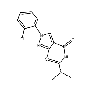 CN(C)c1nc2nn(-c3ccccc3Cl)cc2c(=O)[nH]1